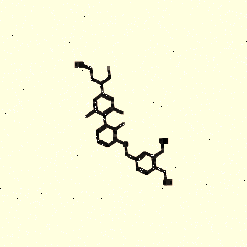 CCC(CCO)c1cc(C)c(-c2cccc(OCc3ccc(CO)c(CO)c3)c2C)c(C)c1